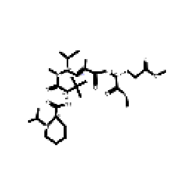 COC(=O)CC[C@@H](NC(=O)/C(C)=C/[C@H](C(C)C)N(C)C(=O)[C@@H](NC(=O)[C@H]1CCCCN1C(C)C)C(C)(C)C)C(=O)OC